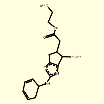 CCCCCC1c2nc(NC3C=CC=CC3)sc2CC1CC(=O)NCCOC